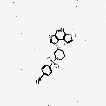 N#Cc1ccc(S(=O)(=O)N2CCC[C@@H](n3cnc4cnc5[nH]ccc5c43)C2)cc1